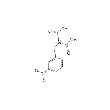 O=C(O)N(Cc1cccc([N+](=O)[O-])c1)C(=O)O